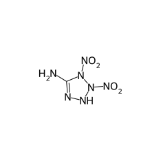 NC1=NNN([N+](=O)[O-])N1[N+](=O)[O-]